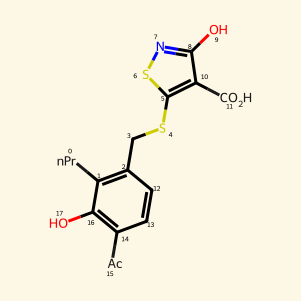 CCCc1c(CSc2snc(O)c2C(=O)O)ccc(C(C)=O)c1O